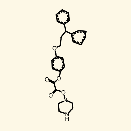 O=C(Oc1ccc(OCCC(c2ccccc2)c2ccccc2)cc1)C(=O)ON1CCNCC1